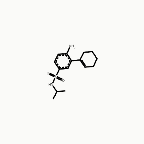 CC(C)NS(=O)(=O)c1ccc(N)c(C2=CCCCC2)c1